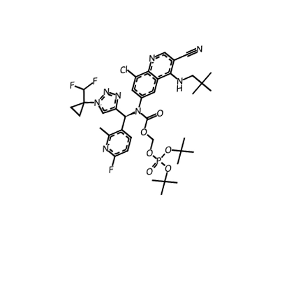 Cc1nc(F)ccc1[C@@H](c1cn(C2(C(F)F)CC2)nn1)N(C(=O)OCOP(=O)(OC(C)(C)C)OC(C)(C)C)c1cc(Cl)c2ncc(C#N)c(NCC(C)(C)C)c2c1